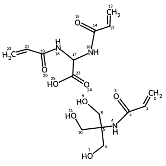 C=CC(=O)NC(CO)(CO)CO.C=CC(=O)NC(NC(=O)C=C)C(=O)O